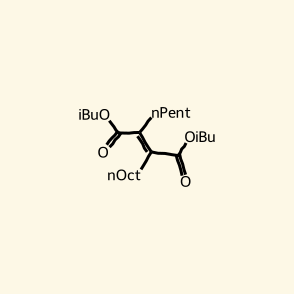 CCCCCCCCC(C(=O)OCC(C)C)=C(CCCCC)C(=O)OCC(C)C